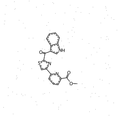 COC(=O)c1cccc(-c2csc(C(=O)c3c[nH]c4ccccc34)n2)n1